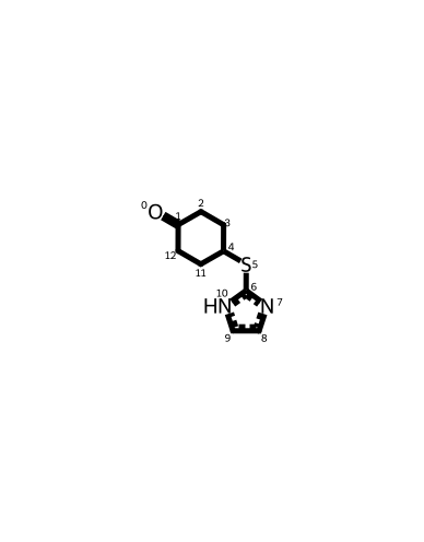 O=C1CCC(Sc2ncc[nH]2)CC1